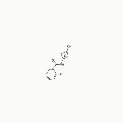 O=C(NC12CC(O)(C1)C2)c1ccccc1F